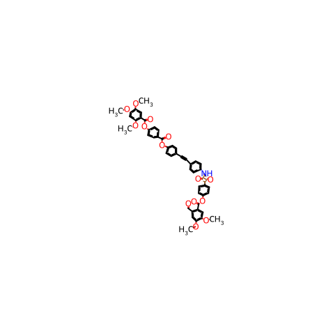 COc1cc(C=O)c(C(=O)Oc2ccc(S(=O)(=O)Nc3ccc(C#Cc4ccc(OC(=O)c5ccc(OC(=O)c6cc(OC)c(OC)cc6OC)cc5)cc4)cc3)cc2)cc1OC